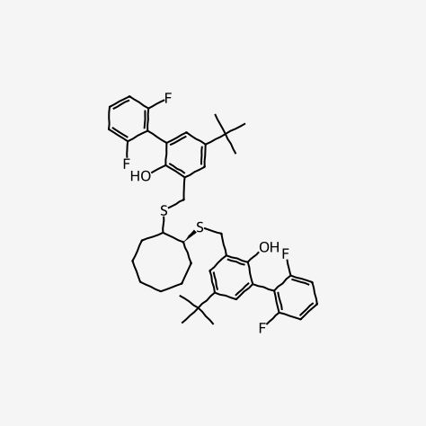 CC(C)(C)c1cc(CSC2CCCCCC[C@@H]2SCc2cc(C(C)(C)C)cc(-c3c(F)cccc3F)c2O)c(O)c(-c2c(F)cccc2F)c1